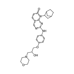 O=c1ccc2cnc(Nc3ccc(OCC(O)CN4CCOCC4)cc3)nc2n1C1CC2CCC1C2